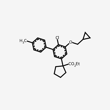 CCOC(=O)C1(c2cc(OCC3CC3)c(Cl)c(-c3ccc(C)cc3)c2)CCCC1